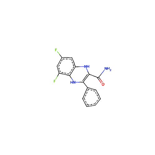 NC(=O)C1=C(c2ccccc2)Nc2c(F)cc(F)cc2N1